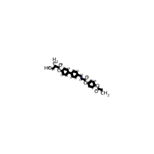 C=CC(=O)Oc1ccc(OC(=O)/C=C/c2ccc(-c3ccc(OC(=O)C(=C)CO)cc3)cc2)cc1